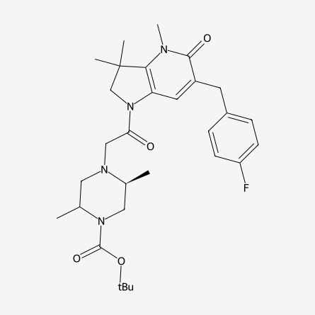 CC1CN(CC(=O)N2CC(C)(C)c3c2cc(Cc2ccc(F)cc2)c(=O)n3C)[C@@H](C)CN1C(=O)OC(C)(C)C